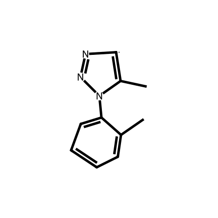 Cc1ccccc1-n1nn[c]c1C